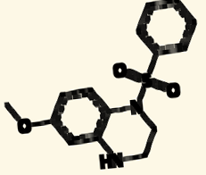 COc1ccc2c(c1)NCCN2S(=O)(=O)c1ccccc1